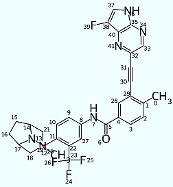 Cc1ccc(C(=O)Nc2ccc(CN3C4CCC3CN(C)C4)c(C(F)(F)F)c2)cc1C#Cc1cnc2[nH]cc(F)c2n1